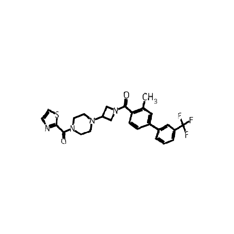 Cc1cc(-c2cccc(C(F)(F)F)c2)ccc1C(=O)N1CC(N2CCN(C(=O)c3nccs3)CC2)C1